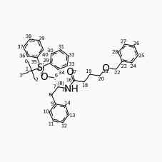 CC(C)(C)[Si](OC[C@@H](Cc1ccccc1)NC(=O)CCCOCc1ccccc1)(c1ccccc1)c1ccccc1